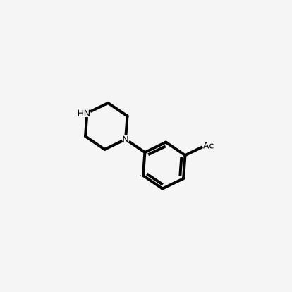 CC(=O)c1cc[c]c(N2CCNCC2)c1